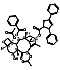 CC(=O)O[C@H]1C(=O)[C@@]2(C)C([C@H](OC(=O)c3ccccc3)[C@]3(O)C[C@H](OC(=O)C4OC(c5ccccc5)=NC4c4ccccc4)C(C)=C1C3(C)C)[C@]1(OC(C)=O)CO[C@@H]1C[C@@H]2O